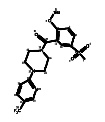 CC(C)(C)Oc1ccc(S(C)(=O)=O)cc1C(=O)N1CCN(c2ccc(C(F)(F)F)cn2)CC1